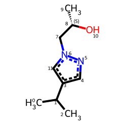 CC(C)c1cnn(C[C@H](C)O)c1